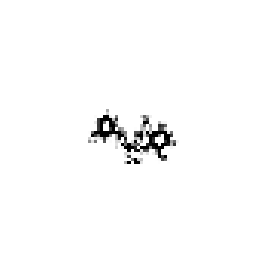 CS/C(=N/Cc1cccc(C)c1)SCc1c(C)cccc1N(C)N